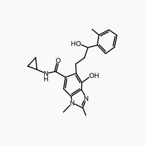 Cc1ccccc1C(O)CCc1c(C(=O)NC2CC2)cc2c(nc(C)n2C)c1O